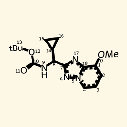 COc1cccn2nc(C(NC(=O)OC(C)(C)C)C3CC3)nc12